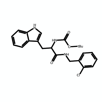 CC(C)(C)OC(=O)NC(Cc1c[nH]c2ccccc12)C(=O)NCc1ccccc1Cl